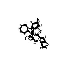 CC1(C(=O)NC2CCCCCC2)Cn2c(cc3sccc32)C(=O)N1Cc1ccc(F)cc1